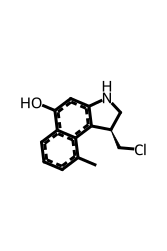 Cc1cccc2c(O)cc3c(c12)[C@H](CCl)CN3